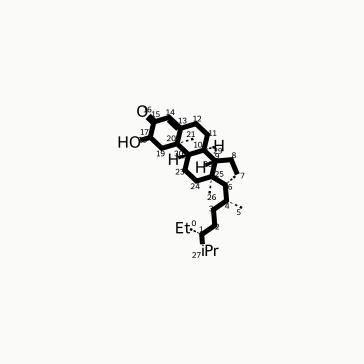 CC[C@H](CC[C@@H](C)[C@H]1CC[C@H]2[C@@H]3CCC4=CC(=O)C(O)C[C@]4(C)[C@H]3CC[C@]12C)C(C)C